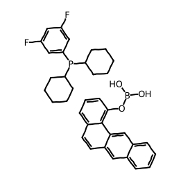 Fc1cc(F)cc(P(C2CCCCC2)C2CCCCC2)c1.OB(O)Oc1cccc2ccc3cc4ccccc4cc3c12